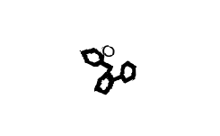 O=C1CCCC/C1=C\c1ccccc1C1CCCCC1